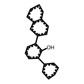 Oc1c(-c2ccccc2)cccc1-c1ccc2ccccc2c1